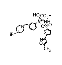 CC(C)N1CCN(Cc2cccc([C@H]3C[C@@H]3NS(=O)(=O)c3ccc(-c4cc(C(F)(F)F)on4)s3)c2)CC1.O=C(O)O